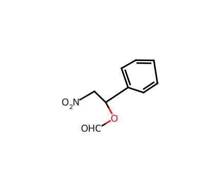 O=COC(C[N+](=O)[O-])c1ccccc1